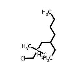 CCCCC(CC)CS(C)(C)CCl